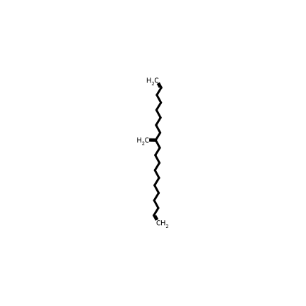 C=CCCCCCCCCCC(=C)CCCCCCC=C